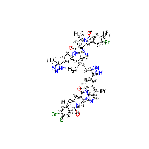 Cc1nn[nH]c1-c1ccc(-n2c(=O)c3c(n4ncc(CC(C)CCc5nn[nH]c5-c5ccc(-n6c(=O)c7c(n8ncc(CC(C)C)c68)CN(C(=O)c6ccc(Br)c(Cl)c6)C(C)C7)cc5)c24)CN(C(=O)c2ccc(Br)c(C(F)(F)F)c2)C(C)C3)cc1